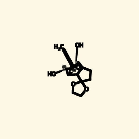 C=C1C[C@@H](O)C2CCCC3(CCC4(OCCO4)C23)C[C@@H]1O